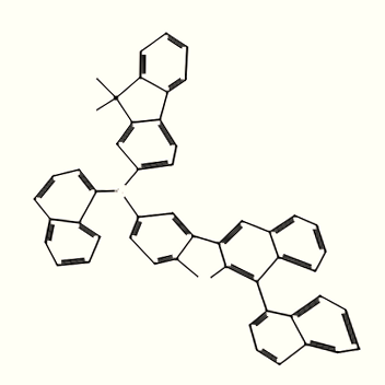 CC1(C)c2ccccc2-c2ccc(N(c3ccc4oc5c(-c6cccc7ccccc67)c6ccccc6cc5c4c3)c3cccc4ccccc34)cc21